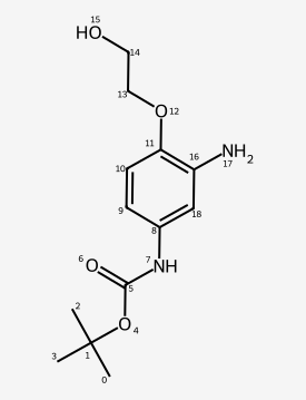 CC(C)(C)OC(=O)Nc1ccc(OCCO)c(N)c1